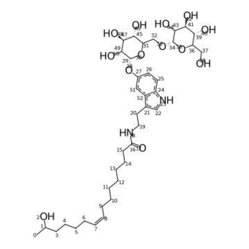 CC(O)CCCC/C=C\CCCCCCCC(=O)NCCc1c[nH]c2ccc(O[C@H]3OC(CO[C@H]4OC(CO)[C@@H](O)[C@H](O)C4O)[C@@H](O)[C@H](O)C3O)cc12